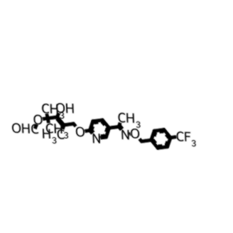 C/C(COc1ccc(/C(C)=N/OCc2ccc(C(F)(F)F)cc2)cn1)=C(/O)C(C)(C)OC=O